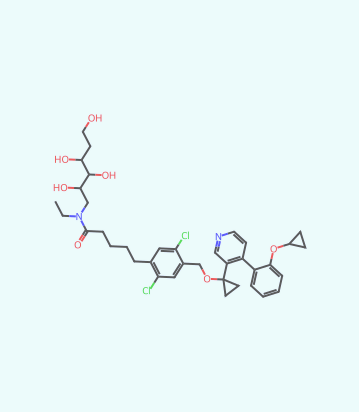 CCN(CC(O)C(O)C(O)CCO)C(=O)CCCCc1cc(Cl)c(COC2(c3cnccc3-c3ccccc3OC3CC3)CC2)cc1Cl